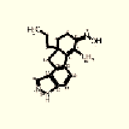 CCCC12CC/C(=N/O)C(C)=C1c1ccc3[nH]ncc3c1C2